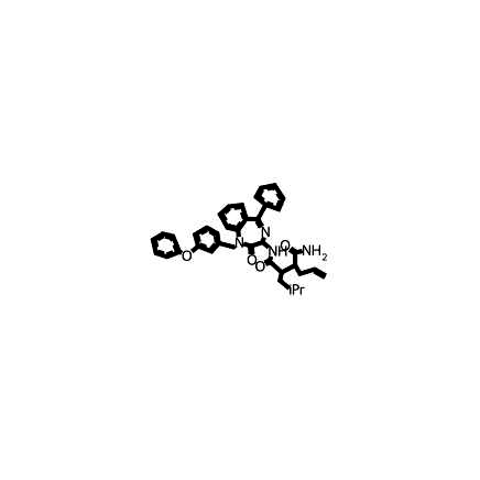 C=CCC(C(N)=O)C(CC(C)C)C(=O)NC1N=C(c2ccccc2)c2ccccc2N(Cc2cccc(Oc3ccccc3)c2)C1=O